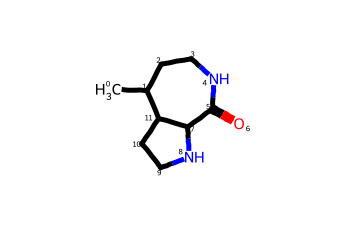 CC1CCNC(=O)C2NCCC12